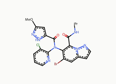 COc1cc(C(=O)N(c2ncccc2Cl)c2c(Br)cc3ccnn3c2C(=O)NC(C)C)[nH]n1